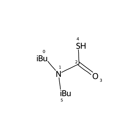 CCC(C)N(C(=O)S)C(C)CC